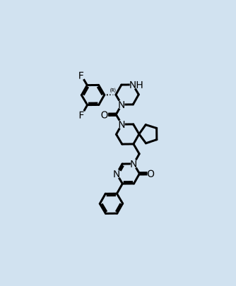 O=C(N1CCC(Cn2cnc(-c3ccccc3)cc2=O)C2(CCCC2)C1)N1CCNC[C@H]1c1cc(F)cc(F)c1